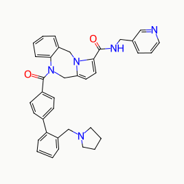 O=C(NCc1cccnc1)c1ccc2n1Cc1ccccc1N(C(=O)c1ccc(-c3ccccc3CN3CCCC3)cc1)C2